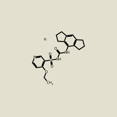 CCOc1ccncc1S(=O)(=O)NC(=O)Nc1c2c(cc3c1CCC3)CCC2.[K]